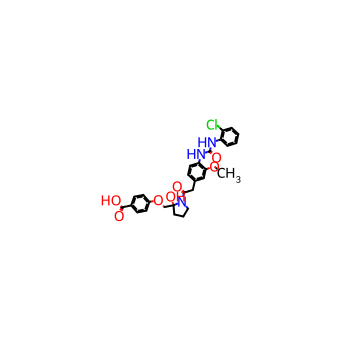 COc1cc(CC(=O)N2CCC[C@]2(O)COc2ccc(C(=O)O)cc2)ccc1NC(=O)Nc1ccccc1Cl